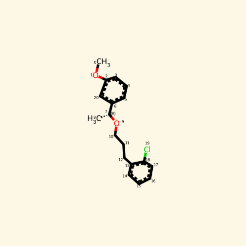 COc1cccc([C@@H](C)OCCCc2ccccc2Cl)c1